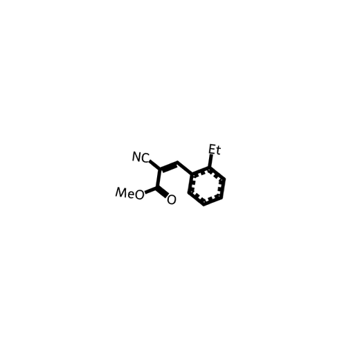 CCc1ccccc1C=C(C#N)C(=O)OC